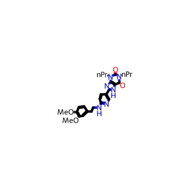 CCCn1c(=O)c2[nH]c(-c3ccc(NCCc4ccc(OC)c(OC)c4)nc3)nc2n(CCC)c1=O